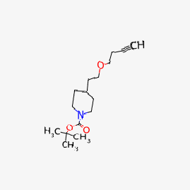 C#CCCOCCC1CCN(C(=O)OC(C)(C)C)CC1